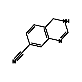 N#Cc1ccc2c(c1)N=CNC2